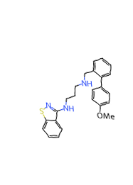 COc1ccc(-c2ccccc2CNCCCNc2nsc3ccccc23)cc1